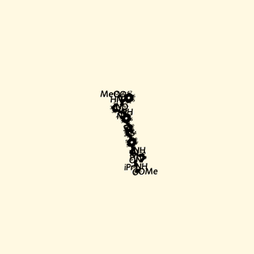 COC(=O)N[C@H](C(=O)N1CCC[C@H]1c1ncc(-c2ccc(-c3cc4sc(-c5ccc6[nH]c(C7CCCN7C(=O)[C@H](NC(=O)OC)c7ccccc7)nc6c5)cc4s3)cc2)[nH]1)C(C)C